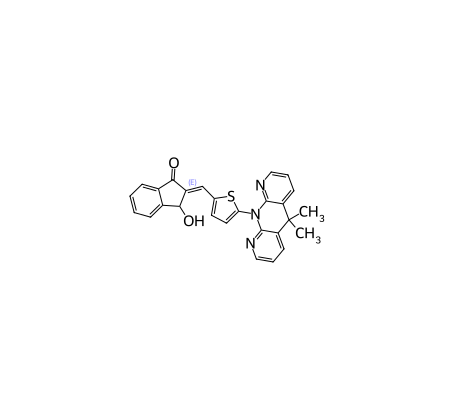 CC1(C)c2cccnc2N(c2ccc(/C=C3/C(=O)c4ccccc4C3O)s2)c2ncccc21